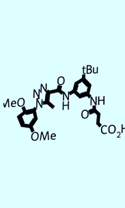 COc1ccc(OC)c(-n2nnc(C(=O)Nc3cc(NC(=O)CCC(=O)O)cc(C(C)(C)C)c3)c2C)c1